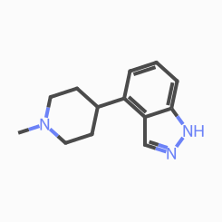 CN1CCC(c2cccc3[nH]ncc23)CC1